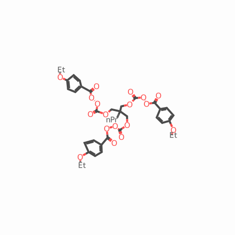 CCCC(COC(=O)OOC(=O)c1ccc(OCC)cc1)(COC(=O)OOC(=O)c1ccc(OCC)cc1)COC(=O)OOC(=O)c1ccc(OCC)cc1